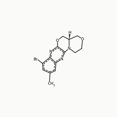 Cc1cc(Br)c2nc3c(nc2c1)N1CCOC[C@H]1CO3